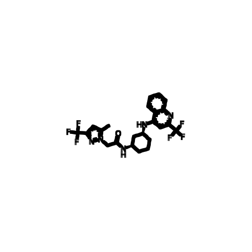 Cc1cc(C(F)(F)F)nn1CC(=O)N[C@@H]1CCC[C@H](Nc2cc(C(F)(F)F)nc3ccccc23)C1